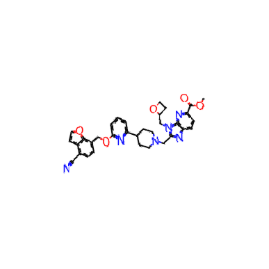 COC(=O)c1ccc2nc(CN3CCC(c4cccc(OCc5ccc(C#N)c6ccoc56)n4)CC3)n(C[C@@H]3CCO3)c2n1